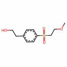 COCCS(=O)(=O)c1ccc(CCO)cc1